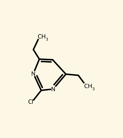 CCc1cc(CC)nc(Cl)n1